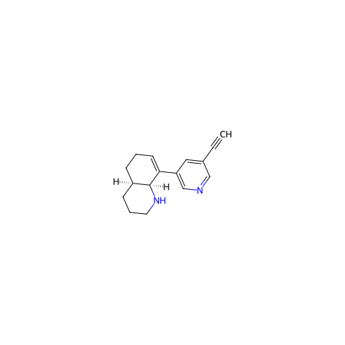 C#Cc1cncc(C2=CCC[C@@H]3CCCN[C@H]23)c1